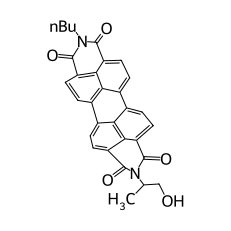 CCCCN1C(=O)c2ccc3c4ccc5c6c(ccc(c7ccc(c2c37)C1=O)c64)C(=O)N(C(C)CO)C5=O